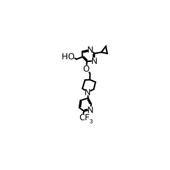 OCc1cnc(C2CC2)nc1OCC1CCN(c2ccc(C(F)(F)F)nc2)CC1